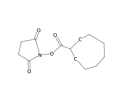 O=C(ON1C(=O)CCC1=O)C1CCCCCCC1